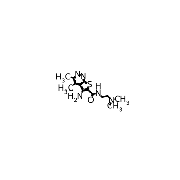 Cc1nnc2sc(C(=O)NCCN(C)C)c(N)c2c1C